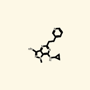 CCCc1nn(C)c2c(NC3CC3)nc(CCc3cccnc3)nc12